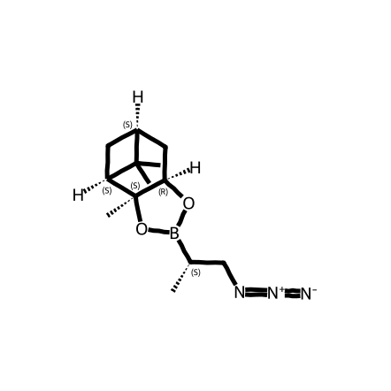 C[C@@H](CN=[N+]=[N-])B1O[C@@H]2C[C@@H]3C[C@@H](C3(C)C)[C@]2(C)O1